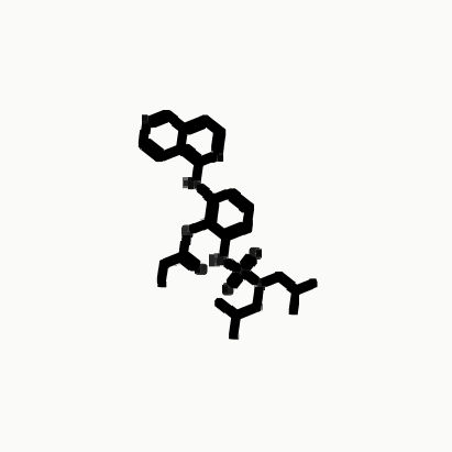 CCC(=O)Oc1c(Nc2nccc3cnccc23)cccc1NS(=O)(=O)N(CC(C)C)CC(C)C